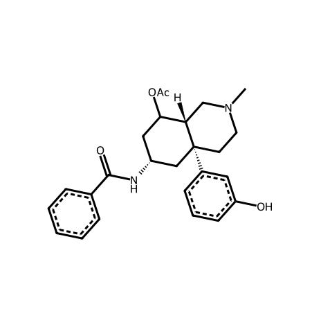 CC(=O)OC1C[C@@H](NC(=O)c2ccccc2)C[C@]2(c3cccc(O)c3)CCN(C)C[C@@H]12